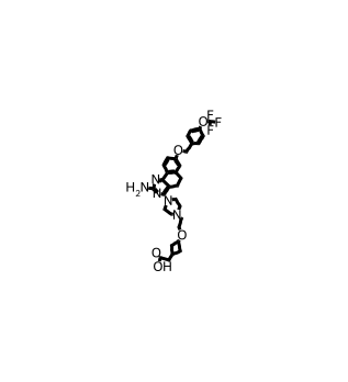 Nc1nc2c(c(N3CCN(CCOC4CC(CC(=O)O)C4)CC3)n1)CCc1cc(OCc3ccc(OC(F)(F)F)cc3)ccc1-2